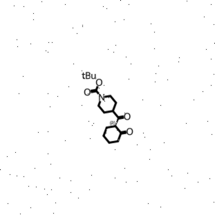 CC(C)(C)OC(=O)N1CCC(C(=O)[C@@H]2CCCCC2=O)CC1